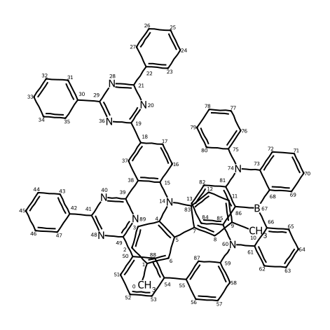 Cc1ccc2c(c1)c1cc(C)ccc1n2-c1ccc(-c2nc(-c3ccccc3)nc(-c3ccccc3)n2)cc1-c1nc(-c2ccccc2)nc(-c2cccc(-c3cccc(N4c5ccccc5B5c6ccccc6N(c6ccccc6)c6cccc4c65)c3)c2)n1